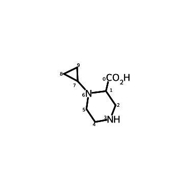 O=C(O)C1CNCCN1C1CC1